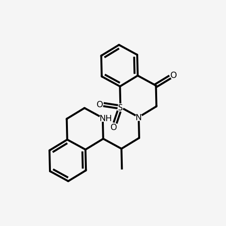 CC(CN1CC(=O)c2ccccc2S1(=O)=O)C1NCCc2ccccc21